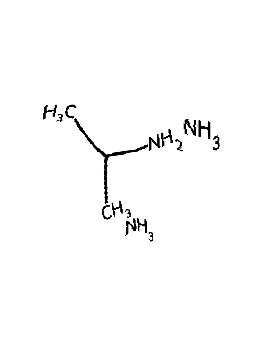 CC(C)N.N.N